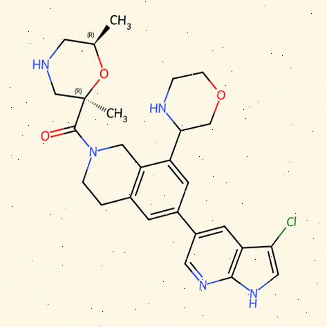 C[C@@H]1CNC[C@](C)(C(=O)N2CCc3cc(-c4cnc5[nH]cc(Cl)c5c4)cc(C4COCCN4)c3C2)O1